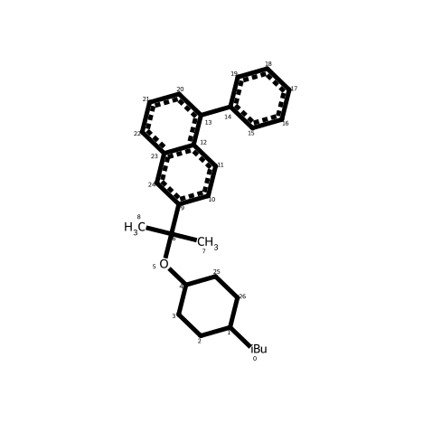 CCC(C)C1CCC(OC(C)(C)c2ccc3c(-c4ccccc4)cccc3c2)CC1